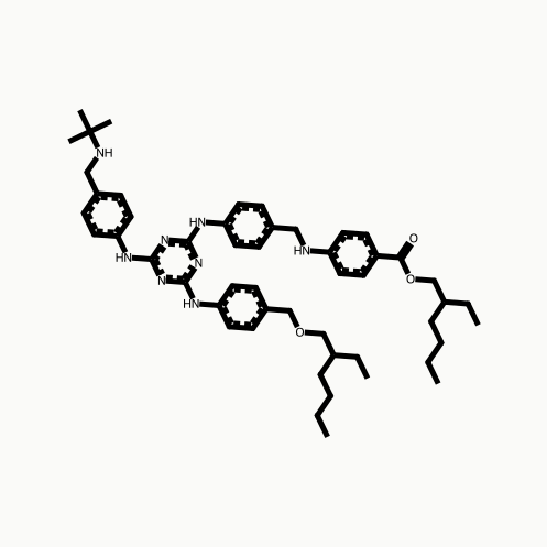 CCCCC(CC)COCc1ccc(Nc2nc(Nc3ccc(CNc4ccc(C(=O)OCC(CC)CCCC)cc4)cc3)nc(Nc3ccc(CNC(C)(C)C)cc3)n2)cc1